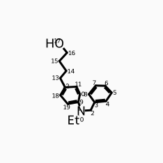 CCN(Cc1ccccc1)c1ccc(CCCCO)cc1